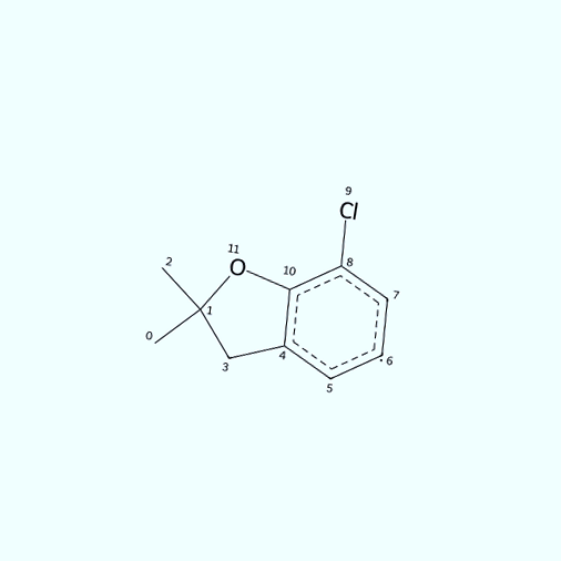 CC1(C)Cc2c[c]cc(Cl)c2O1